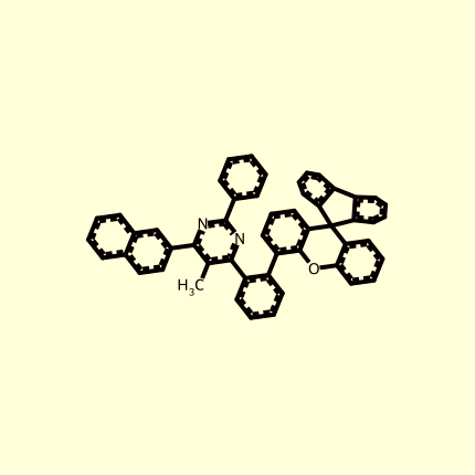 Cc1c(-c2ccc3ccccc3c2)nc(-c2ccccc2)nc1-c1ccccc1-c1cccc2c1Oc1ccccc1C21c2ccccc2-c2ccccc21